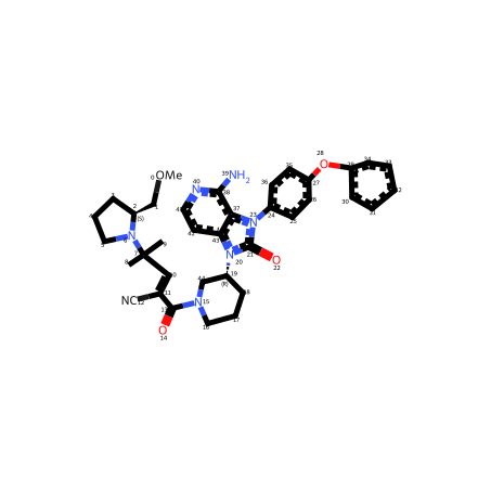 COC[C@@H]1CCCN1C(C)(C)C=C(C#N)C(=O)N1CCC[C@@H](n2c(=O)n(-c3ccc(Oc4ccccc4)cc3)c3c(N)nccc32)C1